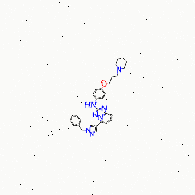 c1ccc(Cn2cc(-c3cccc4nc(Nc5ccc(OCCCN6CCCCC6)cc5)nn34)cn2)cc1